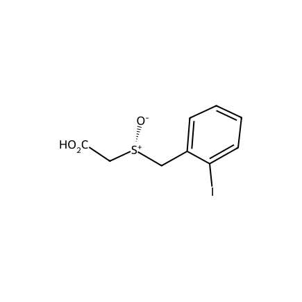 O=C(O)C[S@+]([O-])Cc1ccccc1I